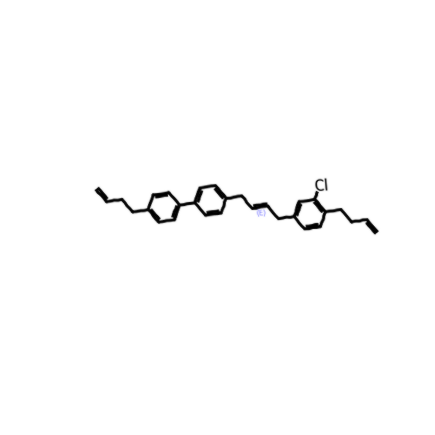 C=CCCc1ccc(-c2ccc(C/C=C/Cc3ccc(CCC=C)c(Cl)c3)cc2)cc1